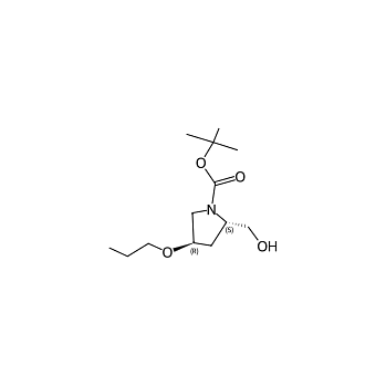 CCCO[C@@H]1C[C@@H](CO)N(C(=O)OC(C)(C)C)C1